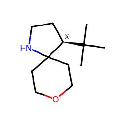 CC(C)(C)[C@@H]1CCNC12CCOCC2